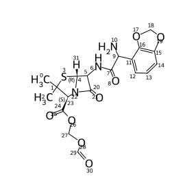 CC1(C)S[C@@H]2C(NC(=O)C(N)c3cccc4c3OCO4)C(=O)N2[C@H]1C(=O)OCOC=O